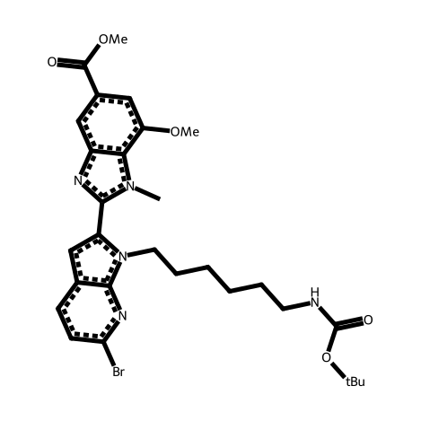 COC(=O)c1cc(OC)c2c(c1)nc(-c1cc3ccc(Br)nc3n1CCCCCCNC(=O)OC(C)(C)C)n2C